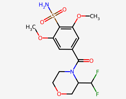 COc1cc(C(=O)N2CCOCC2C(F)F)cc(OC)c1S(N)(=O)=O